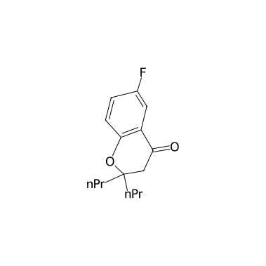 CCCC1(CCC)CC(=O)c2cc(F)ccc2O1